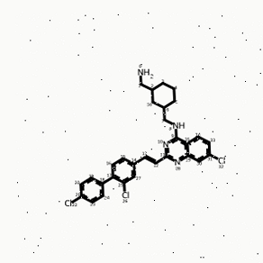 NCC1CCCC(CNc2nc(C=Cc3ccc(-c4ccc(Cl)cc4)c(Cl)c3)nc3cc(Cl)ccc23)C1